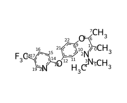 CC(=NN(C)C)C(C)Oc1ccc(Oc2ccc(C(F)(F)F)cn2)cc1